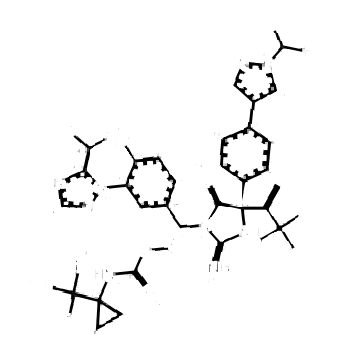 C=C(C(C)(C)C)[C@]1(c2ccc(-c3cnn(C(F)F)c3)cc2)NC(=N)N([C@H](COC(=O)NC2(C(F)(F)F)CC2)c2ccc(Cl)c(-n3ncnc3C(F)F)c2)C1=O